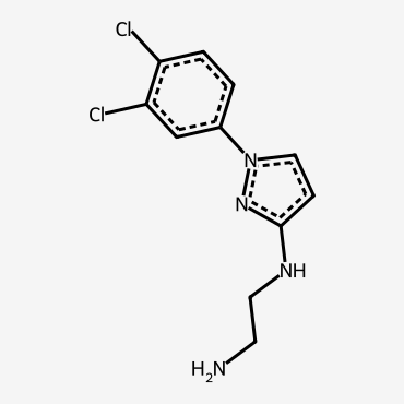 NCCNc1ccn(-c2ccc(Cl)c(Cl)c2)n1